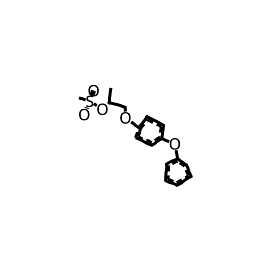 CC(COc1ccc(Oc2ccccc2)cc1)OS(C)(=O)=O